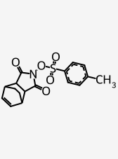 Cc1ccc(S(=O)(=O)ON2C(=O)C3C4C=CC(CC4)C3C2=O)cc1